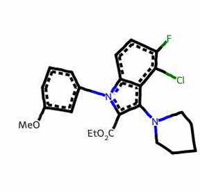 CCOC(=O)c1c(N2CCCCC2)c2c(Cl)c(F)ccc2n1-c1cccc(OC)c1